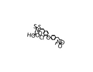 CCN1C(=O)OCC1Cc1ccc(Oc2ccc(/C=C3/SC(=S)N(CC(=O)O)C3=O)cc2Cl)cc1